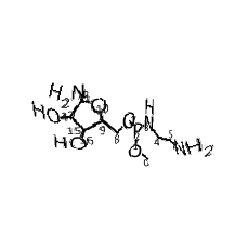 COP(NCCN)OCC1OC(N)C(O)C1O